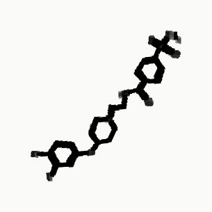 CS(=O)(=O)c1ccc(C(=O)NCCN2CCC(Oc3ccc(Cl)c(Cl)c3)CC2)cc1